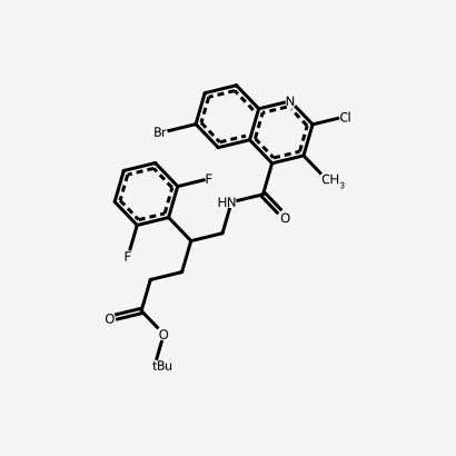 Cc1c(Cl)nc2ccc(Br)cc2c1C(=O)NCC(CCC(=O)OC(C)(C)C)c1c(F)cccc1F